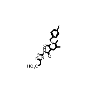 Cc1cc(C(=O)Nc2nc(CC(=O)O)ns2)c(=O)n(Cc2ccc(F)cc2)c1C